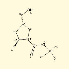 CC(C)(C)OC(=O)N1C[C@@H](CO)C[C@@H]1F